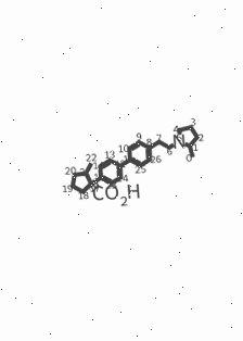 CC1CCCN1CCc1ccc(-c2ccc([C@@]3(C(=O)O)CCCC3C)cc2)cc1